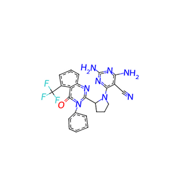 N#Cc1c(N)nc(N)nc1N1CCCC1c1nc2cccc(C(F)(F)F)c2c(=O)n1-c1ccccc1